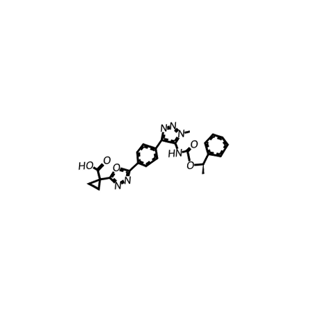 C[C@@H](OC(=O)Nc1c(-c2ccc(-c3nnc(C4(C(=O)O)CC4)o3)cc2)nnn1C)c1ccccc1